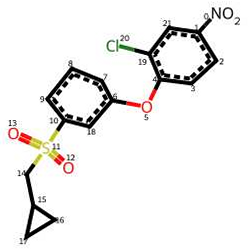 O=[N+]([O-])c1ccc(Oc2cccc(S(=O)(=O)CC3CC3)c2)c(Cl)c1